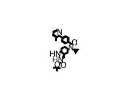 Cc1cccnc1-c1ccc(C(=O)N(C2CC2)C2CCC(=N)/C(=C\NC(=O)OC(C)(C)C)C2)cc1